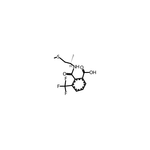 CSC[C@H](C)NC(=O)c1c(C(=O)O)cccc1C(F)(F)F